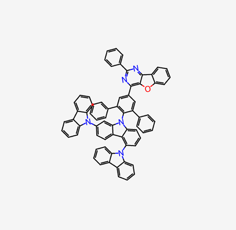 c1ccc(-c2nc(-c3cc(-c4ccccc4)c(-n4c5cc(-n6c7ccccc7c7ccccc76)ccc5c5c(-n6c7ccccc7c7ccccc76)cccc54)c(-c4ccccc4)c3)c3oc4ccccc4c3n2)cc1